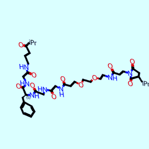 CC(C)C(=O)CCCNC(=O)CNC(=O)[C@H](Cc1ccccc1)NC(=O)CNC(=O)CNC(=O)CCOCCOCCNC(=O)CCN1C(=O)CC(C(C)C)C1=O